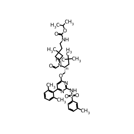 Cc1cccc(S(=O)(=O)Nc2nc(OC[C@@H](CC(C)(C)C)N(C=O)C3CC(C)(CCNC(=O)OC(C)C)C3)cc(-c3c(C)cccc3C)n2)c1